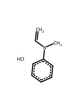 C=CN(C)c1ccccc1.Cl